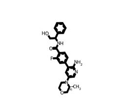 C[C@@H]1COCCN1c1cnc(N)c(-c2ccc(C(=O)NC(CO)c3ccccc3)c(F)c2)c1